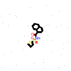 O=C(NS(=O)(=O)c1cccs1)c1cccc2ccccc12